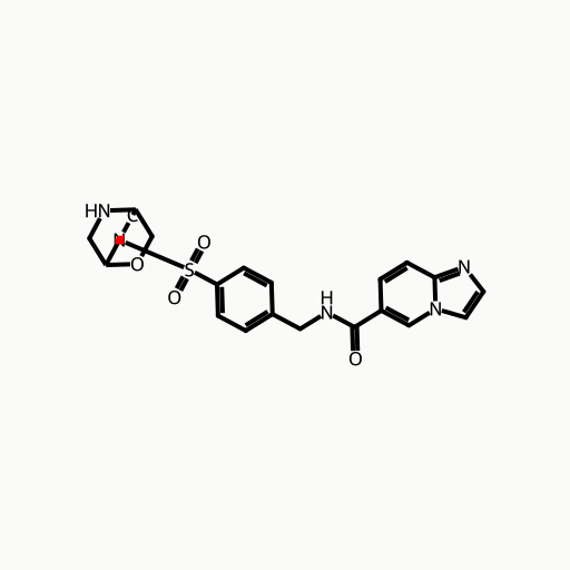 O=C(NCc1ccc(S(=O)(=O)N2CC3COC(CN3)C2)cc1)c1ccc2nccn2c1